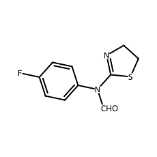 O=CN(C1=NCCS1)c1ccc(F)cc1